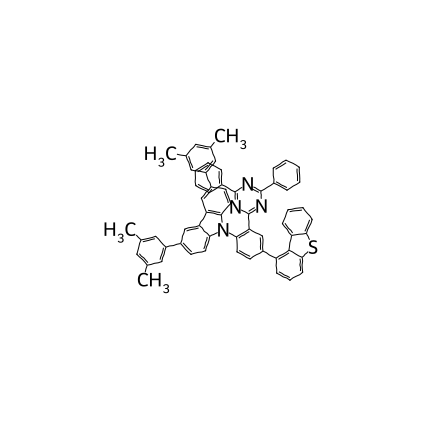 Cc1cc(C)cc(-c2ccc3c(c2)c2cc(-c4cc(C)cc(C)c4)ccc2n3-c2ccc(-c3cccc4sc5ccccc5c34)cc2-c2nc(-c3ccccc3)nc(-c3ccccc3)n2)c1